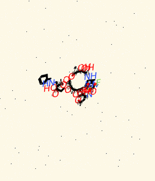 CC[C@H]1OC(=O)[C@H](C)[C@@H](OC2C[C@](C)(OC)[C@@](O)(CNCc3ccccc3)[C@@H](C)O2)[C@H](C)[C@@H](O[C@@H]2O[C@H](C)C[C@H](N(C)S(=O)(=O)c3nccn3C)[C@H]2Oc2ccc(F)cc2)[C@](C)(O)C[C@@H](C)CN[C@H](C)[C@@H](O)[C@]1(C)O